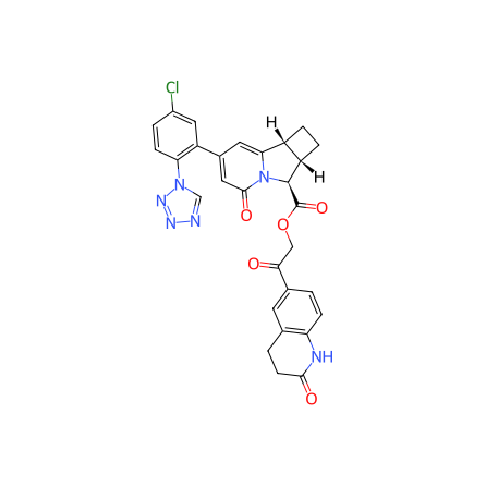 O=C1CCc2cc(C(=O)COC(=O)[C@@H]3[C@H]4CC[C@H]4c4cc(-c5cc(Cl)ccc5-n5cnnn5)cc(=O)n43)ccc2N1